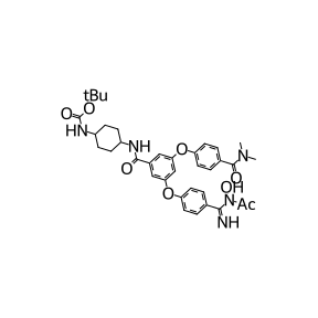 CC(=O)N(O)C(=N)c1ccc(Oc2cc(Oc3ccc(C(=O)N(C)C)cc3)cc(C(=O)NC3CCC(NC(=O)OC(C)(C)C)CC3)c2)cc1